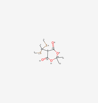 CSC(C)(SC)C1C(=O)OC(C)(C)OC1=O